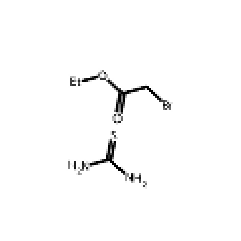 CCOC(=O)CBr.NC(N)=S